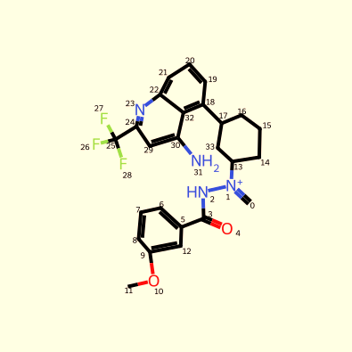 C=[N+](NC(=O)c1cccc(OC)c1)C1CCCC(c2cccc3nc(C(F)(F)F)cc(N)c23)C1